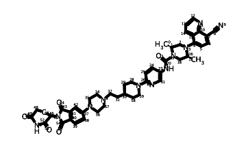 C[C@@H]1CN(c2ccc(C#N)c3ncccc23)[C@@H](C)CN1C(=O)Nc1ccc(N2CCC(CCN3CCN(c4ccc5c(c4)C(=O)N(C4CCC(=O)NC4=O)C5=O)CC3)CC2)nc1